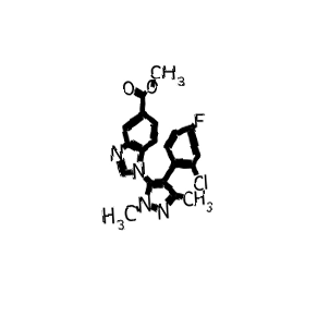 COC(=O)c1ccc2c(c1)ncn2-c1c(-c2ccc(F)cc2Cl)c(C)nn1C